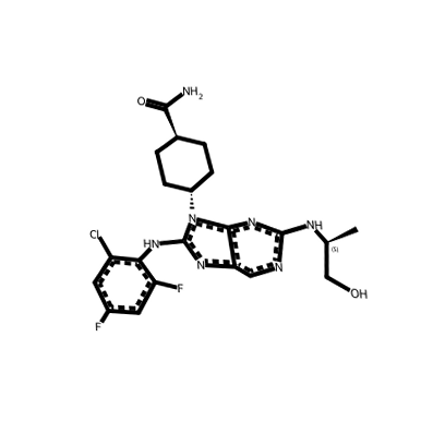 C[C@@H](CO)Nc1ncc2nc(Nc3c(F)cc(F)cc3Cl)n([C@H]3CC[C@H](C(N)=O)CC3)c2n1